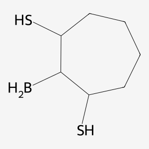 BC1C(S)CCCCC1S